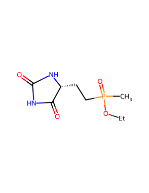 CCOP(C)(=O)CC[C@H]1NC(=O)NC1=O